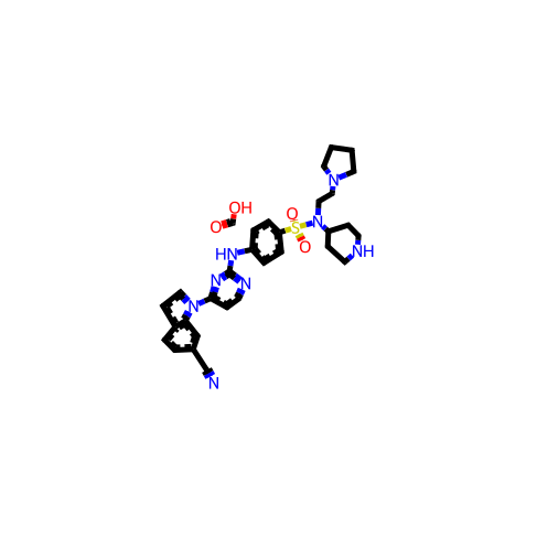 N#Cc1ccc2ccn(-c3ccnc(Nc4ccc(S(=O)(=O)N(CCN5CCCC5)C5CCNCC5)cc4)n3)c2c1.O=CO